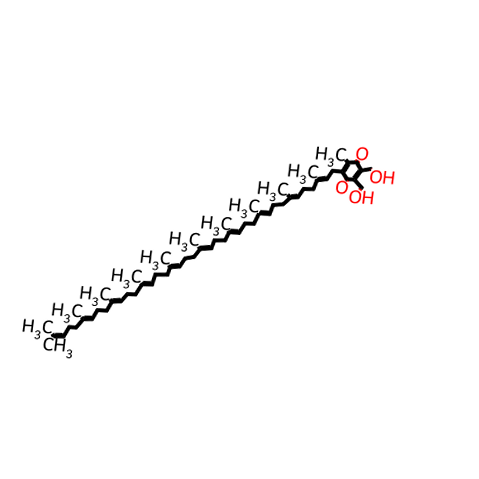 CC(C)=CCC/C(C)=C/CC/C(C)=C/CC/C(C)=C/CC/C(C)=C/CC/C(C)=C/CC/C(C)=C/CC/C(C)=C/CC/C(C)=C/CC/C(C)=C/CC1=C(C)C(=O)C(CO)=C(CO)C1=O